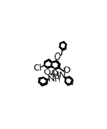 O=C(Nc1ccccc1)Oc1c(C(=O)Nc2ccccc2)cc(OCc2ccccc2)c2ccc(Cl)cc12